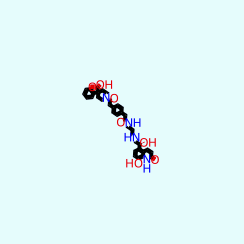 O=C(Cc1ccc(CC(=O)N2CCC(C(=O)O)(c3ccccc3)CC2)cc1)NCCCNC[C@H](O)c1ccc(O)c2[nH]c(=O)ccc12